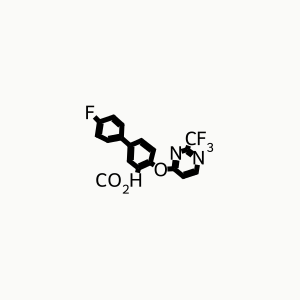 O=C(O)c1cc(-c2ccc(F)cc2)ccc1Oc1ccnc(C(F)(F)F)n1